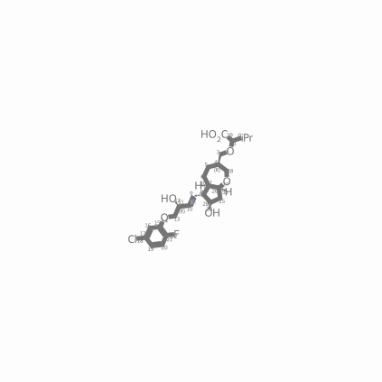 CC(C)C(OC[C@@H]1CC[C@@H]2[C@@H](/C=C/[C@@H](O)COc3cc(Cl)ccc3F)[C@H](O)C[C@@H]2OC1)C(=O)O